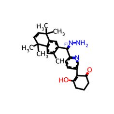 Cc1cc2c(cc1/C(=N/N)c1ccc(C3=C(O)CCCC3=O)cn1)C(C)(C)C=CC2(C)C